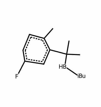 CCC(C)BC(C)(C)c1cc(F)ccc1C